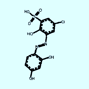 O=S(=O)(O)c1cc(Cl)cc(/N=N/c2ccc(O)cc2O)c1O